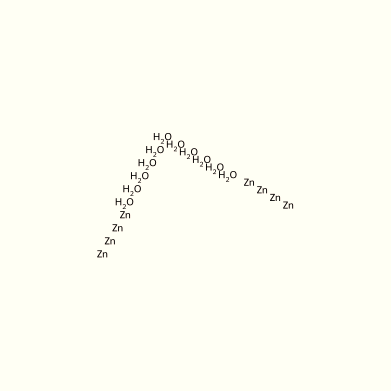 O.O.O.O.O.O.O.O.O.O.O.[Zn].[Zn].[Zn].[Zn].[Zn].[Zn].[Zn].[Zn]